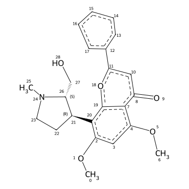 COc1cc(OC)c2c(=O)cc(-c3ccccc3)oc2c1[C@H]1CCN(C)[C@@H]1CO